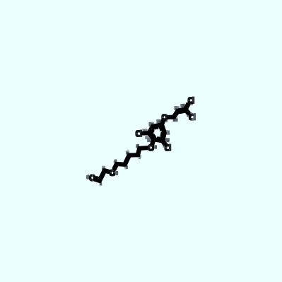 O=CCOCCCCCOc1c(Cl)cc(OCC=C(Cl)Cl)cc1Cl